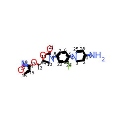 NC1=CCN(c2ccc(N3C[C@H](COc4ccon4)OC3=O)cc2F)C=C1